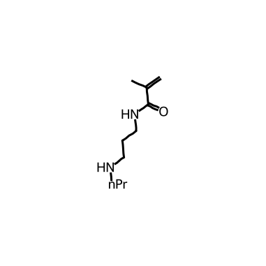 C=C(C)C(=O)NCCCNCCC